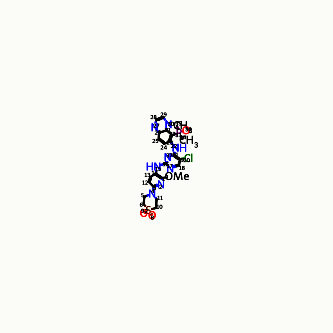 COc1nc(N2CCS(=O)(=O)CC2)ccc1Nc1ncc(Cl)c(Nc2ccc3nccnc3c2P(C)(C)=O)n1